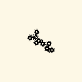 C1=Cc2c(n(-c3ccc4c(c3)sc3cc(C5=NC(c6ccccc6)NC(c6ccccc6)=N5)c5ccccc5c34)c3ccc4sc5ccccc5c4c23)CC1